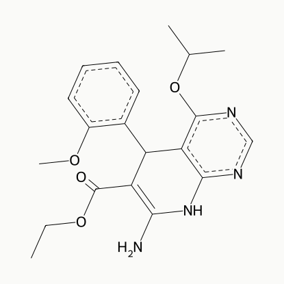 CCOC(=O)C1=C(N)Nc2ncnc(OC(C)C)c2C1c1ccccc1OC